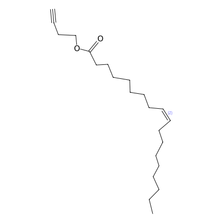 C#CCCOC(=O)CCCCCCC/C=C\CCCCCCCC